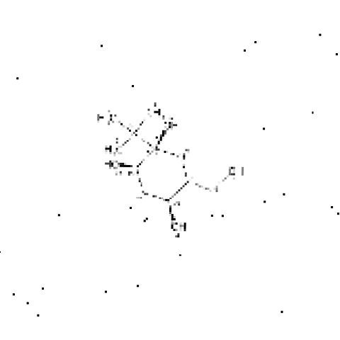 CC(C)(C)[C@]1(O)O[C@H](CO)[C@@H](O)C[C@H]1O